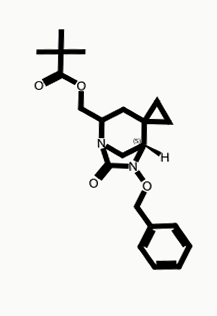 CC(C)(C)C(=O)OCC1CC2(CC2)[C@H]2CN1C(=O)N2OCc1ccccc1